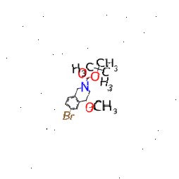 COC1CN(C(=O)OC(C)(C)C)Cc2ccc(Br)cc21